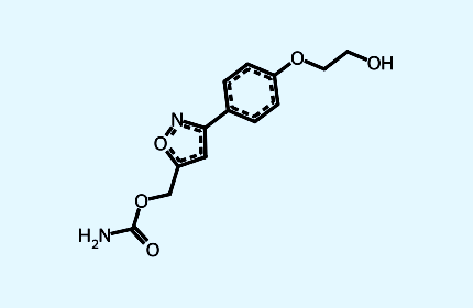 NC(=O)OCc1cc(-c2ccc(OCCO)cc2)no1